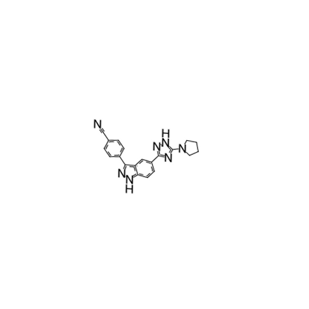 N#Cc1ccc(-c2n[nH]c3ccc(-c4n[nH]c(N5CCCC5)n4)cc23)cc1